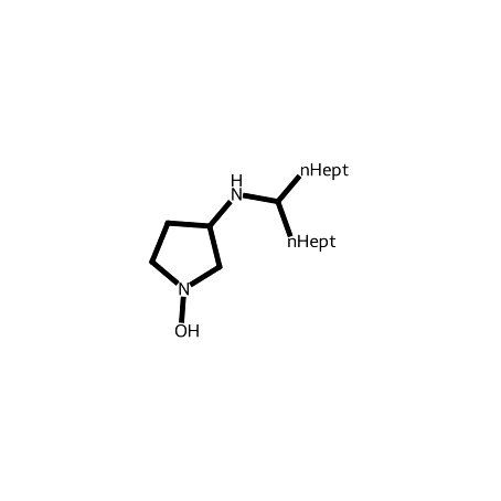 CCCCCCCC(CCCCCCC)NC1CCN(O)C1